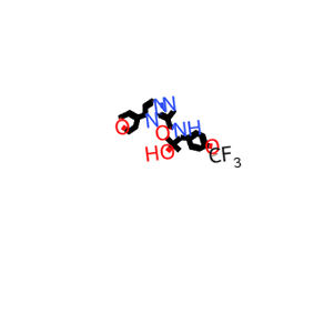 CC(C)(O)C(NC(=O)c1cnn2ccc(C3=CCOCC3)nc12)c1ccc(OC(F)(F)F)cc1